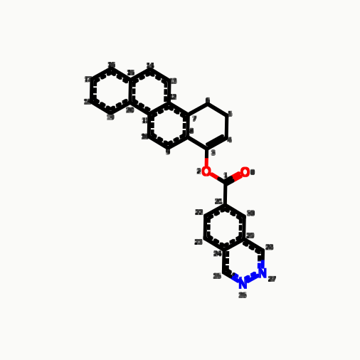 O=C(OC1=CCCc2c1ccc1c2ccc2ccccc21)c1ccc2cnncc2c1